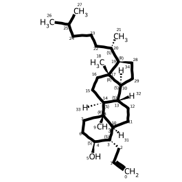 C=CC[C@@H]1[C@@H](O)CC[C@@]2(C)[C@H]1CC[C@@H]1[C@@H]2CC[C@]2(C)[C@@H]([C@@H](C)CCCC(C)C)CC[C@@H]12